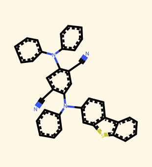 N#Cc1cc(N(c2ccccc2)c2ccc3c(c2)sc2ccccc23)c(C#N)cc1N(c1ccccc1)c1ccccc1